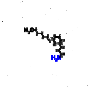 CCCCC/C=C/c1cccc(CCCN)c1